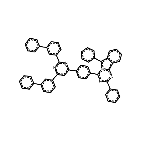 c1ccc(-c2cccc(-c3cc(-c4ccc(-c5nc(-c6ccccc6)nc6c7ccccc7c(-c7ccccc7)n56)cc4)nc(-c4cccc(-c5ccccc5)c4)n3)c2)cc1